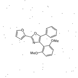 COc1cccc(OC)c1-c1nc(-c2ccco2)oc1-c1ccccc1